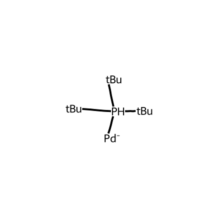 CC(C)(C)[PH]([Pd-])(C(C)(C)C)C(C)(C)C